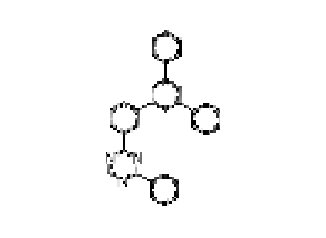 c1ccc(-c2cc(-c3ccccc3)cc(-c3cccc(-c4ncnc(-c5ccccc5)n4)c3)c2)cc1